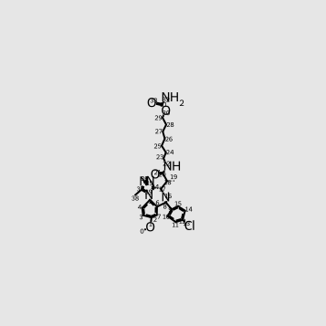 COc1ccc2c(c1)C(c1ccc(Cl)cc1)=N[C@@H]([C@@H](C)C(=O)NCCCCCCCOC(N)=O)c1nnc(C)n1-2